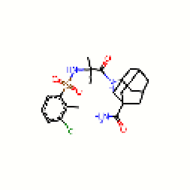 Cc1c(Cl)cccc1S(=O)(=O)NC(C)(C)C(=O)NC12CC3CC(C1)CC(C(N)=O)(C3)C2